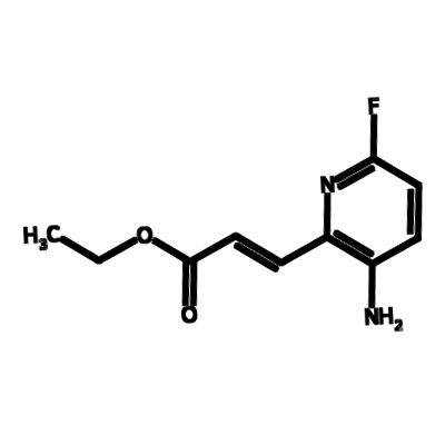 CCOC(=O)C=Cc1nc(F)ccc1N